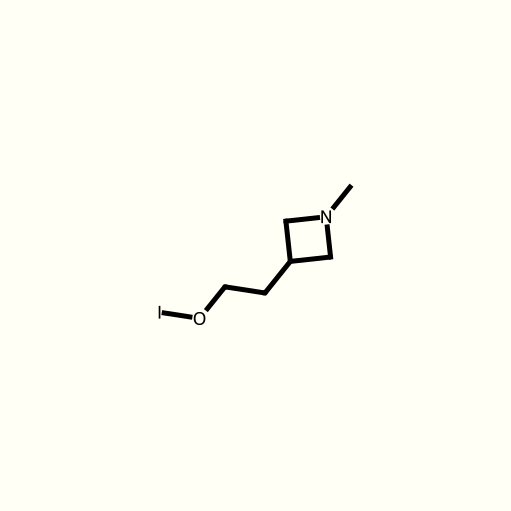 CN1CC(CCOI)C1